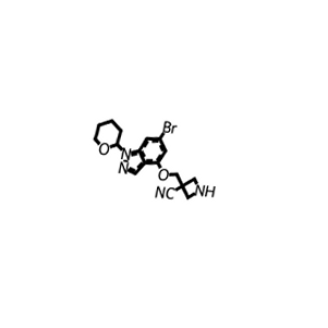 N#CC1(COc2cc(Br)cc3c2cnn3C2CCCCO2)CNC1